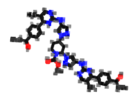 COC(=O)c1ccc(-c2nc(Nc3cnn(C4CCN(C(=O)OC(C)(C)C)C(n5cc(Nc6ncc(C)c(-c7ccc(C(=O)OC)cc7)n6)cn5)C4)c3)ncc2C)cc1